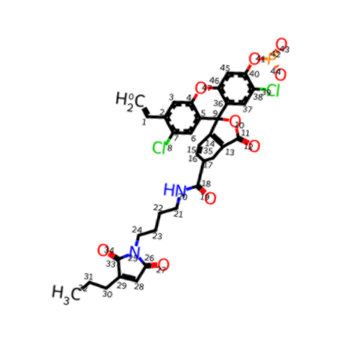 C=Cc1cc2c(cc1Cl)C1(OC(=O)C3=C1C=CC(C(=O)NCCCCN1C(=O)C=C(CCC)C1=O)C3)c1cc(Cl)c(OP(=O)=O)cc1O2